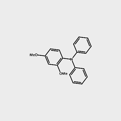 COc1ccc(N(c2ccccc2)c2ccccc2)c(OC)c1